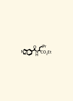 CCOC(=O)C(CC(C)C)NC(=O)c1ccn2cncc2c1